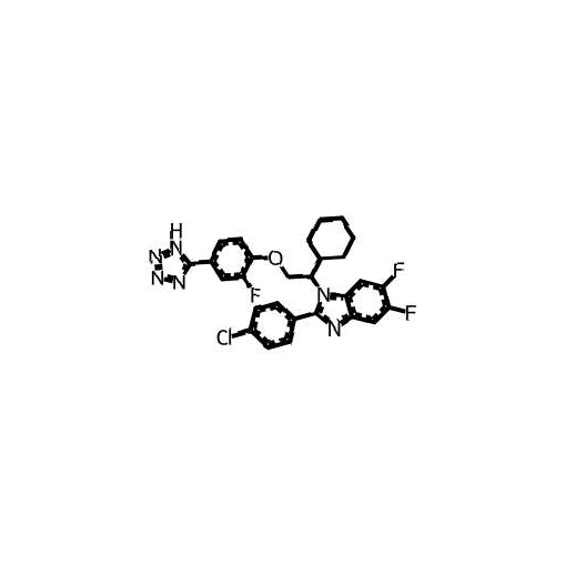 Fc1cc2nc(-c3ccc(Cl)cc3)n(C(COc3ccc(-c4nnn[nH]4)cc3F)C3CCCCC3)c2cc1F